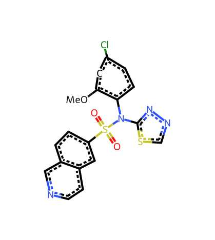 COc1cc(Cl)ccc1N(c1nncs1)S(=O)(=O)c1ccc2cnccc2c1